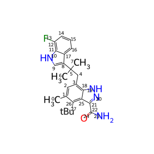 Cc1cc(CC(C)(C)c2c[nH]c3c(F)cccc23)c2[nH]nc(C(N)=O)c2c1C(C)(C)C